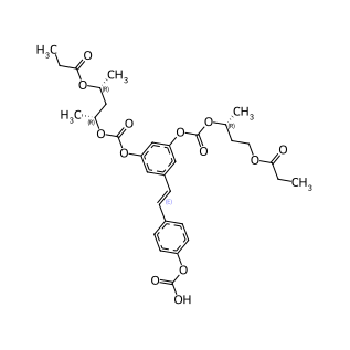 CCC(=O)OCC[C@@H](C)OC(=O)Oc1cc(/C=C/c2ccc(OC(=O)O)cc2)cc(OC(=O)O[C@H](C)C[C@@H](C)OC(=O)CC)c1